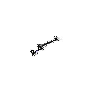 COc1cc(/C=C/C(=O)N2CCC=CC2=O)cc(OC)c1OCCOCCOCCOCCC(=O)O